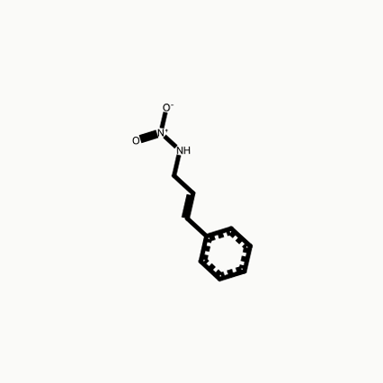 O=[N+]([O-])NC/C=C/c1ccccc1